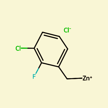 Fc1c(Cl)cccc1[CH2][Zn+].[Cl-]